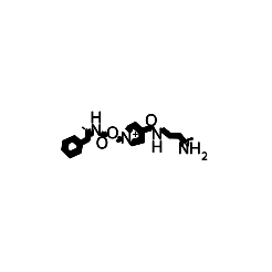 C[C@@H](N)CCCNC(=O)c1cc[n+](COC(=O)N[C@@H](C)Cc2ccccc2)cc1